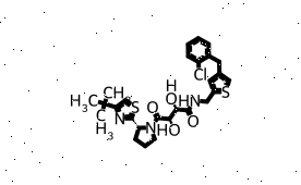 CC(C)(C)c1csc([C@H]2CCCN2C(=O)[C@H](O)[C@@H](O)C(=O)NCc2cc(Cc3ccccc3Cl)cs2)n1